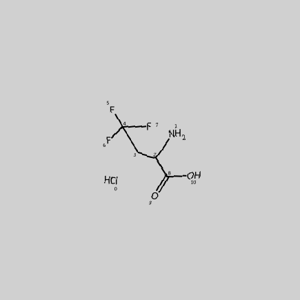 Cl.NC(CC(F)(F)F)C(=O)O